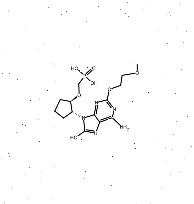 COCCOc1nc(N)c2nc(O)n([C@@H]3CCC[C@H]3OCP(=O)(O)O)c2n1